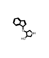 OC1CNCC1OC1C=Cc2ccccc21